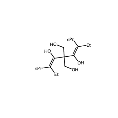 CCCC(CC)=C(O)C(CO)(CO)C(O)=C(CC)CCC